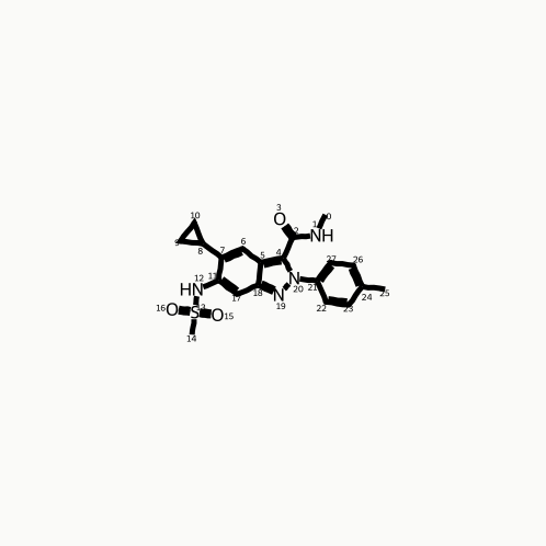 CNC(=O)c1c2cc(C3CC3)c(NS(C)(=O)=O)cc2nn1-c1ccc(C)cc1